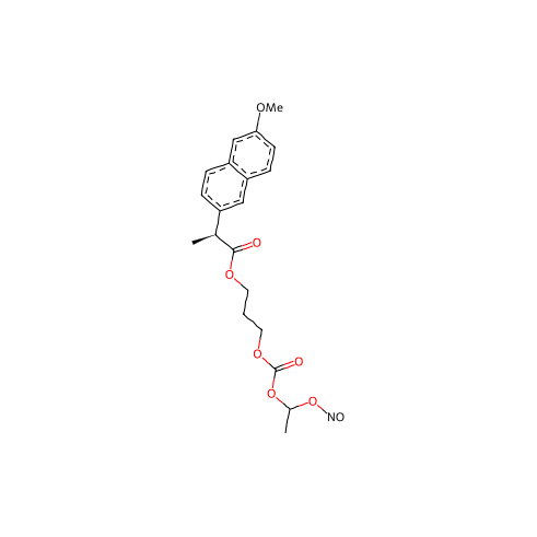 COc1ccc2cc([C@H](C)C(=O)OCCCOC(=O)OC(C)ON=O)ccc2c1